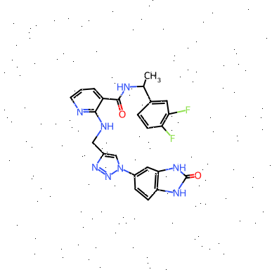 CC(NC(=O)c1cccnc1NCc1cn(-c2ccc3[nH]c(=O)[nH]c3c2)nn1)c1ccc(F)c(F)c1